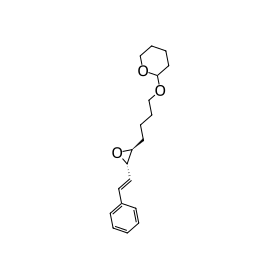 C(=C\[C@@H]1O[C@H]1CCCCOC1CCCCO1)/c1ccccc1